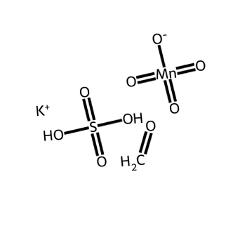 C=O.O=S(=O)(O)O.[K+].[O]=[Mn](=[O])(=[O])[O-]